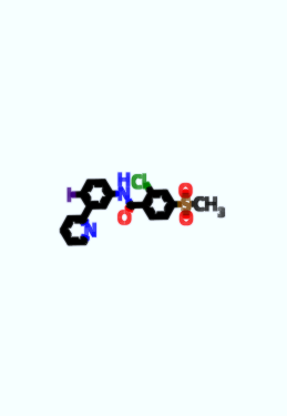 CS(=O)(=O)c1ccc(C(=O)Nc2ccc(I)c(-c3ccccn3)c2)c(Cl)c1